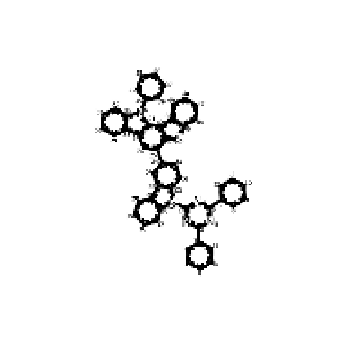 c1ccc(-c2nc(-c3ccccc3)nc(-n3c4ccccc4c4cc(-c5cc6c7ccccc7n(-c7ccccc7)c6c6c5sc5ccccc56)ccc43)n2)cc1